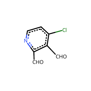 O=Cc1nccc(Cl)c1C=O